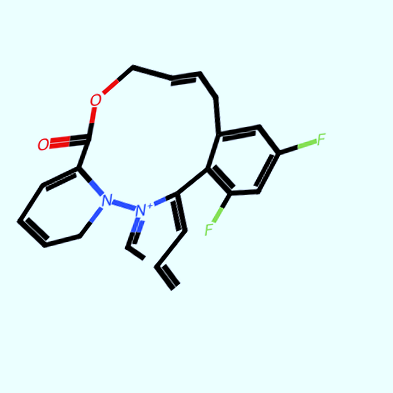 C=C/C=C1/c2c(F)cc(F)cc2C/C=C/COC(=O)C2=CC=CCN2/[N+]1=C/C